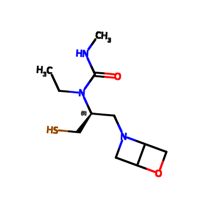 CCN(C(=O)NC)[C@H](CS)CN1CC2OCC21